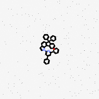 c1ccc(-c2cc(-c3ccccc3)nc(-n3ccc4ccc5c(c43)-c3ccccc3C5(c3ccccc3)c3ccccc3)c2)cc1